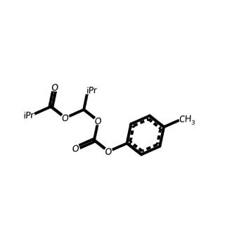 Cc1ccc(OC(=O)OC(OC(=O)C(C)C)C(C)C)cc1